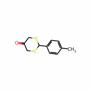 Cc1ccc(C2SCC(=O)CS2)cc1